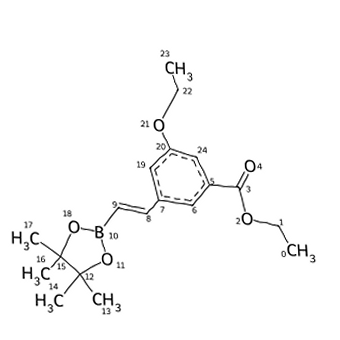 CCOC(=O)c1cc(/C=C/B2OC(C)(C)C(C)(C)O2)cc(OCC)c1